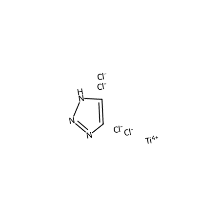 [Cl-].[Cl-].[Cl-].[Cl-].[Ti+4].c1c[nH]nn1